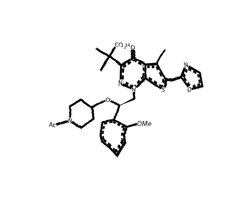 COc1ccccc1[C@H](Cn1nc(C(C)(C)C(=O)O)c(=O)c2c(C)c(-c3ncco3)sc21)OC1CCN(C(C)=O)CC1